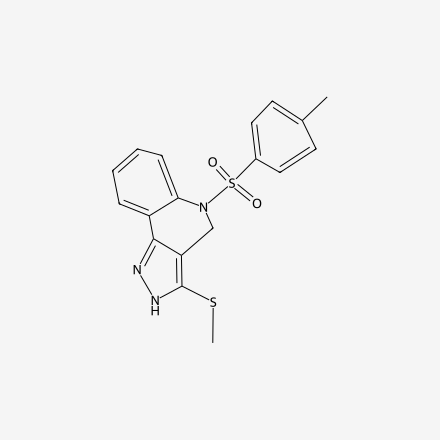 CSc1[nH]nc2c1CN(S(=O)(=O)c1ccc(C)cc1)c1ccccc1-2